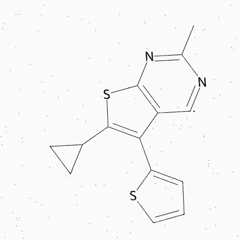 Cc1n[c]c2c(-c3cccs3)c(C3CC3)sc2n1